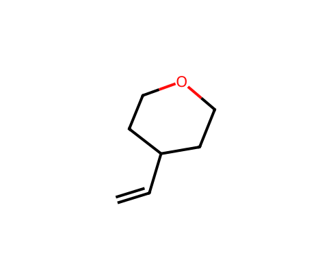 C=CC1CCOCC1